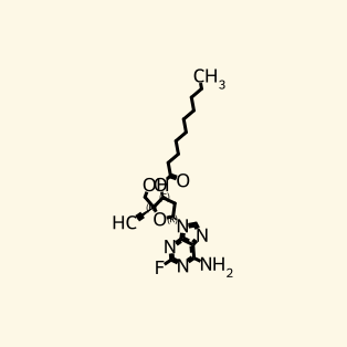 C#C[C@]1(CO)O[C@@H](n2cnc3c(N)nc(F)nc32)C[C@@H]1OC(=O)CCCCCCCCC